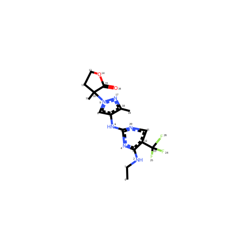 CCNc1nc(Nc2cn(C3(C)CCOC3=O)nc2C)ncc1C(F)(F)F